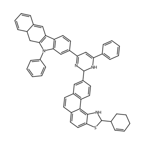 C1=CC2=Cc3c(n(-c4ccccc4)c4cc(C5=NC(c6ccc7c(ccc8ccc9c(c87)NC(C7C=CCCC7)S9)c6)NC(c6ccccc6)=C5)ccc34)CC2C=C1